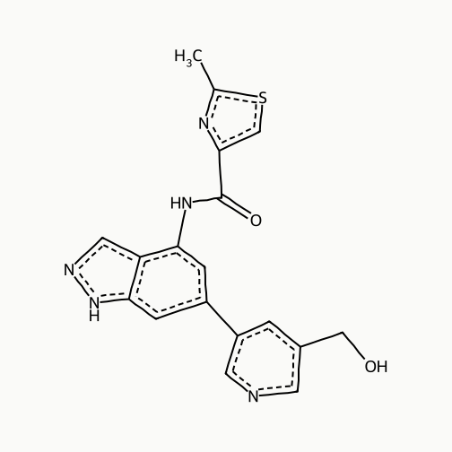 Cc1nc(C(=O)Nc2cc(-c3cncc(CO)c3)cc3[nH]ncc23)cs1